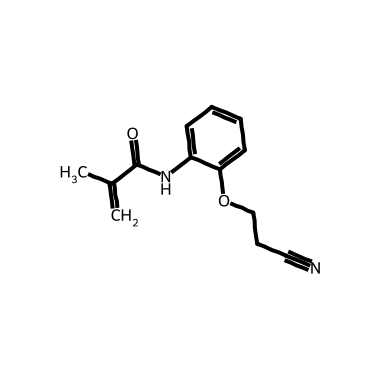 C=C(C)C(=O)Nc1ccccc1OCCC#N